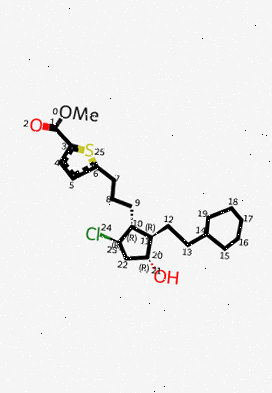 COC(=O)c1ccc(CCC[C@@H]2[C@@H](CCC3CCCCC3)[C@H](O)C[C@H]2Cl)s1